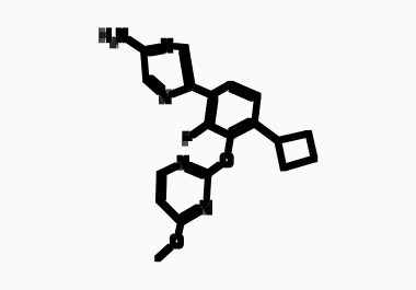 COc1ccnc(Oc2c(C3CCC3)ccc(-c3cnc(N)cn3)c2F)n1